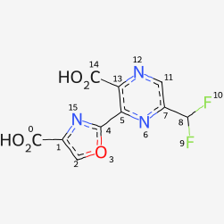 O=C(O)c1coc(-c2nc(C(F)F)cnc2C(=O)O)n1